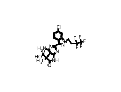 CC1(C(=O)O)C(=O)Nc2nc(-c3nn(CCC(F)(F)C(F)(F)F)c4cc(Cl)ccc34)nc(N)c21